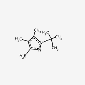 Bc1nn(C(C)(C)C)c(C)c1C